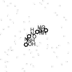 O=C(Nc1ccc2nc(-c3ccccc3O)[nH]c2c1)c1ccc2nc(-c3ccccc3O)[nH]c2c1